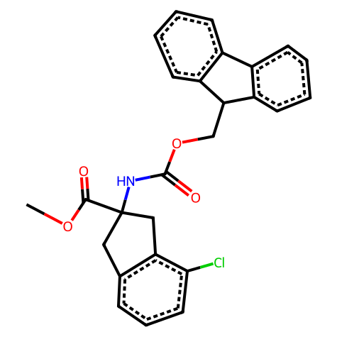 COC(=O)C1(NC(=O)OCC2c3ccccc3-c3ccccc32)Cc2cccc(Cl)c2C1